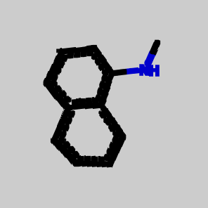 CNc1c[c]cc2ccccc12